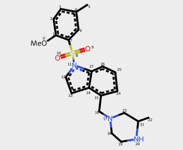 COc1ccc(C)cc1S(=O)(=O)n1ccc2c(CN3CCNC(C)C3)cccc21